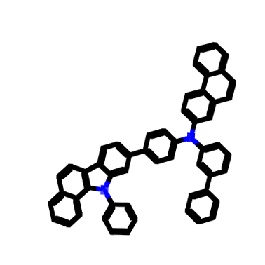 c1ccc(-c2cccc(N(c3ccc(-c4ccc5c6ccc7ccccc7c6n(-c6ccccc6)c5c4)cc3)c3ccc4c(ccc5ccccc54)c3)c2)cc1